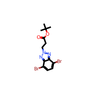 CC(C)(C)OC(=O)CCn1nc2c(Br)ccc(Br)c2n1